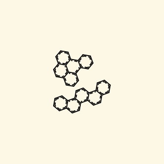 c1ccc2c(c1)c1cccc3ccc4cccc2c4c31.c1ccc2c(c1)ccc1c2ccc2c3ccccc3ccc21